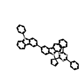 C1=CC(c2nc(-c3ccccc3)nc(-c3ccccc3)n2)(n2c3ccccc3c3cc(-c4ccc5c(c4)c4ccccc4n5-c4ccccc4)ccc32)C=C1